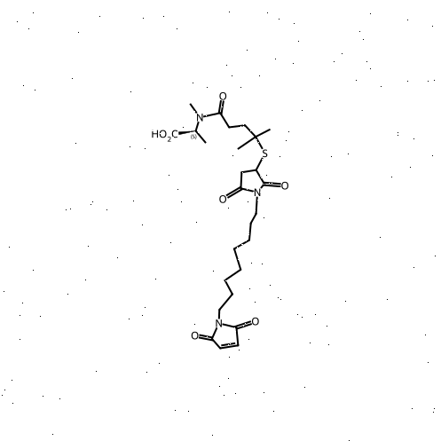 C[C@@H](C(=O)O)N(C)C(=O)CCC(C)(C)SC1CC(=O)N(CCCCCCCCN2C(=O)C=CC2=O)C1=O